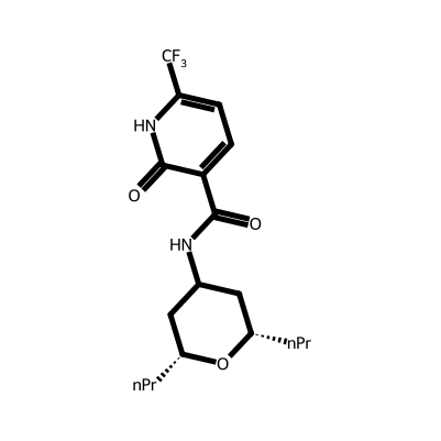 CCC[C@@H]1CC(NC(=O)c2ccc(C(F)(F)F)[nH]c2=O)C[C@H](CCC)O1